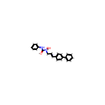 O=C(Nc1ccccc1)N(O)C/C=C/c1ccc(-c2ccccc2)cc1